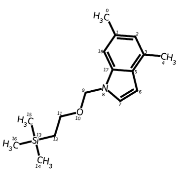 Cc1cc(C)c2ccn(COCC[Si](C)(C)C)c2c1